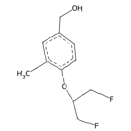 Cc1cc(CO)ccc1OC(CF)CF